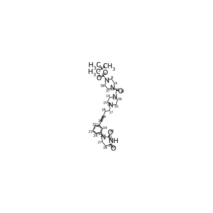 CC(C)(C)OC(=O)N1CCN(C(=O)N2CCN(CCC#Cc3cccc(N4CCC(=O)NC4=O)c3)CC2)CC1